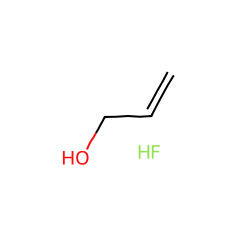 C=CCO.F